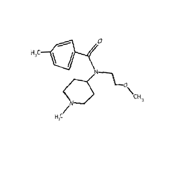 COCCN(C(=O)c1ccc(C)cc1)C1CCN(C)CC1